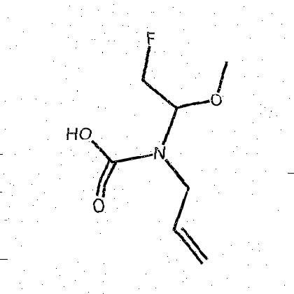 C=CCN(C(=O)O)C(CF)OC